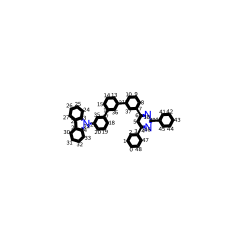 c1ccc(-c2cc(-c3cccc(-c4cccc(-c5cccc(-n6c7ccccc7c7ccccc76)c5)c4)c3)nc(-c3ccccc3)n2)cc1